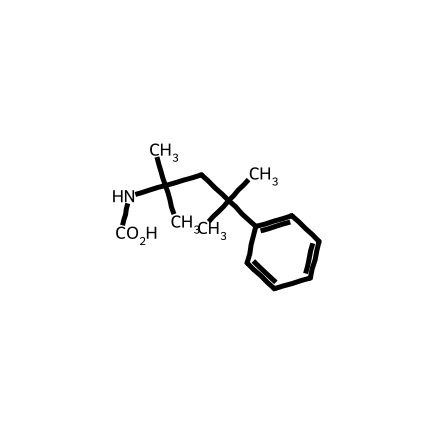 CC(C)(CC(C)(C)c1ccccc1)NC(=O)O